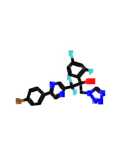 OC(Cn1cnnn1)(c1ccc(F)cc1F)C(F)(F)c1cnc(-c2ccc(Br)cc2)cn1